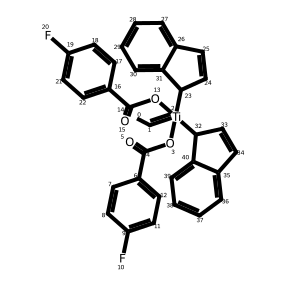 C[CH]=[Ti]([O]C(=O)c1ccc(F)cc1)([O]C(=O)c1ccc(F)cc1)([CH]1C=Cc2ccccc21)[CH]1C=Cc2ccccc21